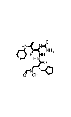 C=C(NC1CCOCC1)/C(F)=C(\N=C(/N)Cl)NNC(=O)[C@H](CC1CCCC1)CN(O)C=O